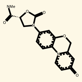 CNC(=O)[C@H]1CN(c2ccc3c(c2)OCc2cc(=O)ccn2-3)C(=O)O1